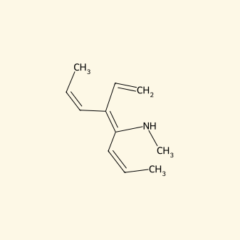 C=CC(/C=C\C)=C(/C=C\C)NC